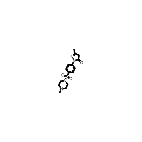 CC1=NN(c2ccc(S(=O)(=O)N3CCN(C)CC3)cc2)C(=O)C1